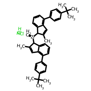 Cl.Cl.[CH2]=[Zr]([CH]1C(C)=Cc2c(-c3ccc(C(C)(C)C)cc3)cccc21)[CH]1C(C)=Cc2c(-c3ccc(C(C)(C)C)cc3)cccc21